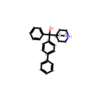 OC(c1ccccc1)(c1ccc(-c2ccccc2)cc1)C12CCN(CC1)CC2